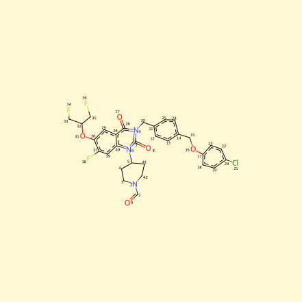 O=CN1CCC(n2c(=O)n(Cc3ccc(COc4ccc(Cl)cc4)cc3)c(=O)c3cc(OC(CF)CF)c(F)cc32)CC1